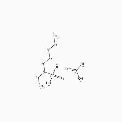 CCCCCC(CC)P(=O)(O)O.O=C(O)O